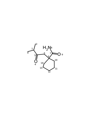 CC(C)C(=O)CC1(C(N)=O)CCCCC1